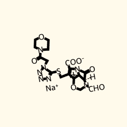 O=CN1COC2C(CSc3nnnn3CC(=O)N3CCOCC3)=C(C(=O)[O-])N3C(=O)[C@@H]1[C@@H]23.[Na+]